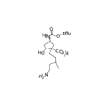 CC(CCN)CCC1(C(=O)O)CC(NC(=O)OC(C)(C)C)CC1O